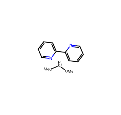 CO[SiH2]OC.c1ccc(-c2ccccn2)nc1